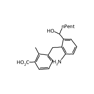 CCCCCC(O)c1cccc(N)c1Cc1cccc(C(=O)O)c1C